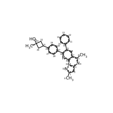 Cc1cc2nc(C)c3cc(-c4ccccc4)c(-c4ccc(C5CC(C)(O)C5)cc4)nc3n2n1